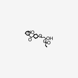 C=CC(=O)OC(O)CCOc1ccc(C(=O)c2ccccc2)c(O)c1